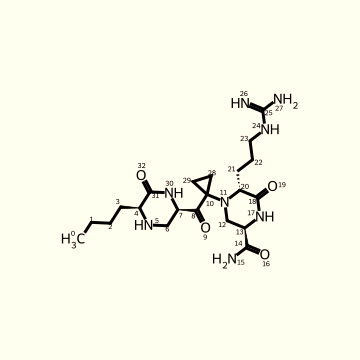 CCCC[C@@H]1NC[C@H](C(=O)C2(N3C[C@H](C(N)=O)NC(=O)[C@H]3CCCNC(=N)N)CC2)NC1=O